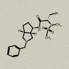 CC(C)C[C@@H](C(=O)N[C@@H]1CC[C@H]2CN(Cc3ccccc3)C[C@H]21)N(C)S(C)(=O)=O